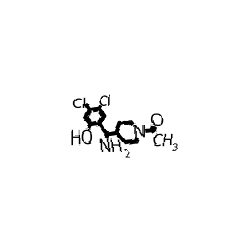 CC(=O)N1CCC(C(N)c2cc(Cl)c(Cl)cc2O)CC1